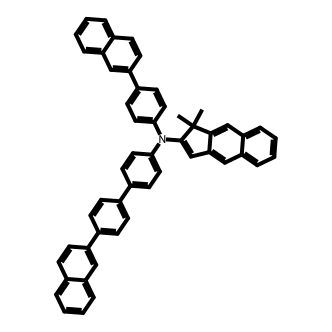 CC1(C)C(N(c2ccc(-c3ccc(-c4ccc5ccccc5c4)cc3)cc2)c2ccc(-c3ccc4ccccc4c3)cc2)=Cc2cc3ccccc3cc21